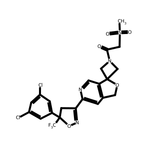 CS(=O)(=O)CC(=O)N1CC2(C1)OCc1cc(C3=NOC(c4cc(Cl)cc(Cl)c4)(C(F)(F)F)C3)ncc12